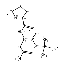 CC(C)(C)OC(=O)N(CC(N)=O)NC(=O)[C@@H]1CCCN1